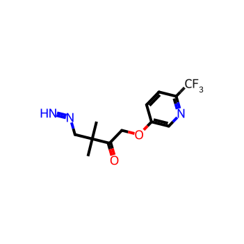 CC(C)(CN=N)C(=O)COc1ccc(C(F)(F)F)nc1